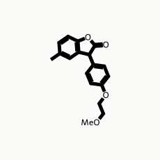 COCCOc1ccc(C2C(=O)Oc3ccc(C)cc32)cc1